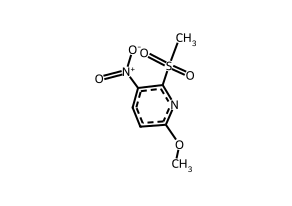 COc1ccc([N+](=O)[O-])c(S(C)(=O)=O)n1